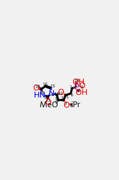 COC1C(OC(C)C)C(CCP(=O)(O)O)OC1n1ccc(=O)[nH]c1=O